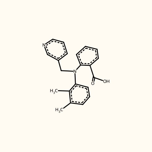 Cc1cccc(N(Cc2cccnc2)c2ccccc2C(=O)O)c1C